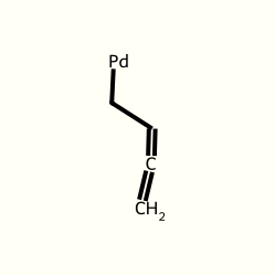 C=C=C[CH2][Pd]